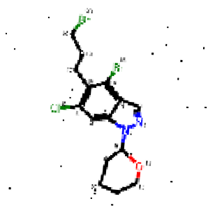 Clc1cc2c(cnn2C2CCCCO2)c(Br)c1CCCBr